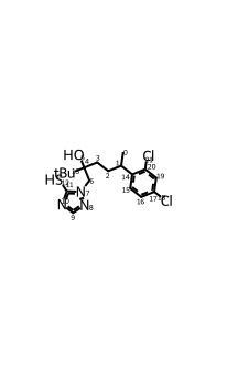 CC(CCC(O)(Cn1ncnc1S)C(C)(C)C)c1ccc(Cl)cc1Cl